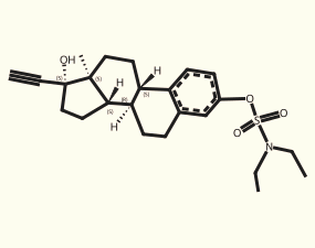 C#C[C@]1(O)CC[C@H]2[C@@H]3CCc4cc(OS(=O)(=O)N(CC)CC)ccc4[C@H]3CC[C@@]21C